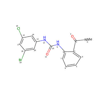 CNC(=O)c1ccccc1NC(=O)Nc1cc(Cl)cc(Br)c1